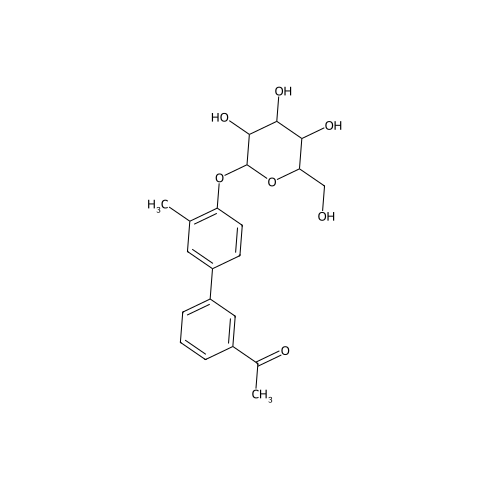 CC(=O)c1cccc(-c2ccc(OC3OC(CO)C(O)C(O)C3O)c(C)c2)c1